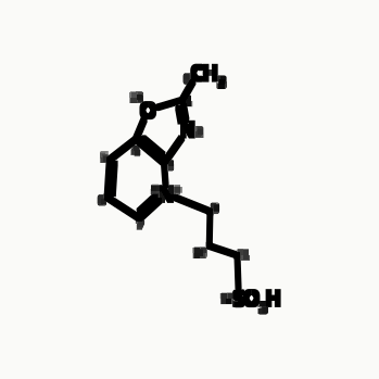 Cc1nc2c(ccc[n+]2CCCS(=O)(=O)O)o1